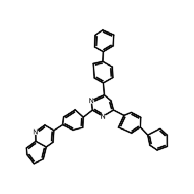 c1ccc(-c2ccc(-c3cc(-c4ccc(-c5ccccc5)cc4)nc(-c4ccc(-c5cnc6ccccc6c5)cc4)n3)cc2)cc1